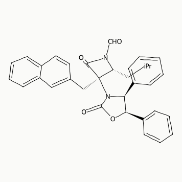 CC(C)C[C@H]1N(C=O)C(=O)[C@]1(Cc1ccc2ccccc2c1)N1C(=O)O[C@H](c2ccccc2)[C@@H]1c1ccccc1